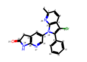 Cc1ccc2c(Br)c(-c3ccccc3)n(-c3cnc4c(c3)CC(=O)N4)c2n1